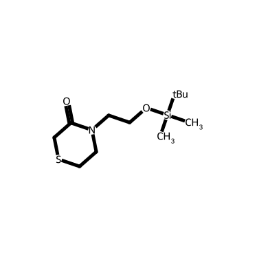 CC(C)(C)[Si](C)(C)OCCN1CCSCC1=O